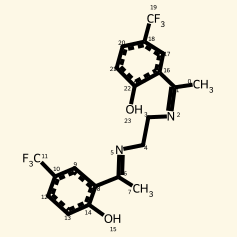 CC(=NCCN=C(C)c1cc(C(F)(F)F)ccc1O)c1cc(C(F)(F)F)ccc1O